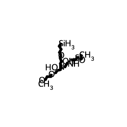 COCCCOCC(O)CN(CCNCCC[Si](C)=O)CC(O)COCCC[SiH3]